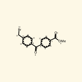 COC(=O)c1ccc(C(=O)c2ccc(CBr)cc2)cc1